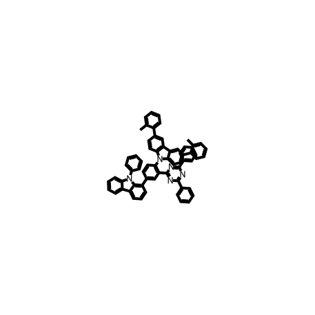 Cc1ccccc1-c1ccc2c(c1)c1cc(-c3ccccc3C)ccc1n2-c1ccc(-c2cccc3c4ccccc4n(-c4ccccc4)c23)cc1-c1nc(-c2ccccc2)nc(-c2ccccc2)n1